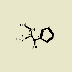 O=C(O)[C@@H](NO)C(O)c1ccccc1